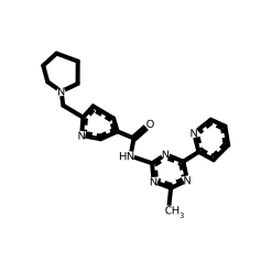 Cc1nc(NC(=O)c2ccc(CN3CCCCC3)nc2)nc(-c2ccccn2)n1